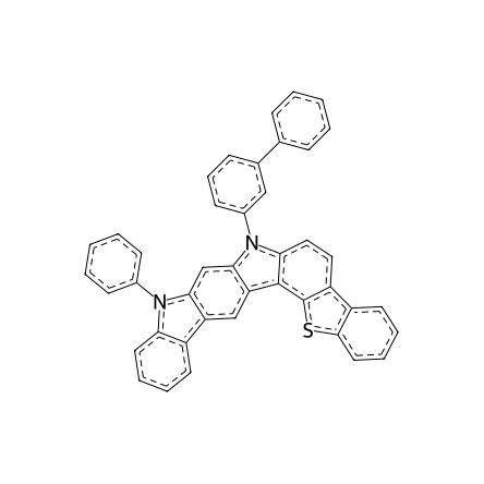 c1ccc(-c2cccc(-n3c4cc5c(cc4c4c6sc7ccccc7c6ccc43)c3ccccc3n5-c3ccccc3)c2)cc1